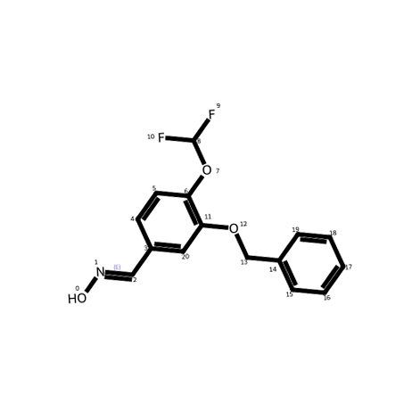 O/N=C/c1ccc(OC(F)F)c(OCc2ccccc2)c1